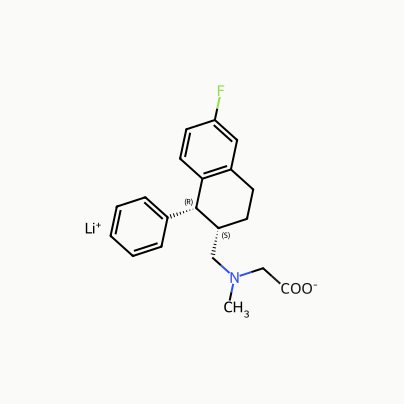 CN(CC(=O)[O-])C[C@H]1CCc2cc(F)ccc2[C@H]1c1ccccc1.[Li+]